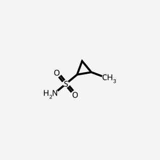 CC1CC1S(N)(=O)=O